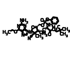 CCOc1nc(N)nc2c1ncn2[C@@H]1O[C@H](COP(=O)(N[C@@H](C)C(=O)OCC(C)(C)C)Oc2ccccc2)[C@@H](O)[C@@]1(C)C#N